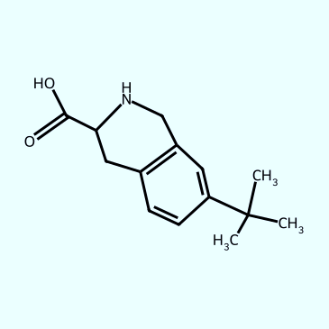 CC(C)(C)c1ccc2c(c1)CNC(C(=O)O)C2